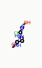 C=CC(=O)Nc1cccc(-c2cccc3cnc(Nc4ccc(N5CCN(CCO)CC5)cc4Cl)nc23)c1